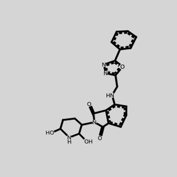 O=C1c2cccc(NCc3nnc(-c4ccccc4)o3)c2C(=O)N1C1CCC(O)NC1O